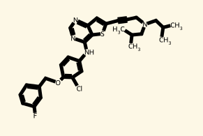 CC(C)CN(CC#Cc1cc2ncnc(Nc3ccc(OCc4cccc(F)c4)c(Cl)c3)c2s1)CC(C)C